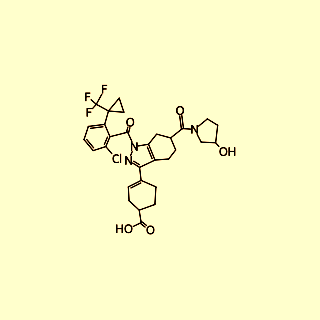 O=C(O)C1CC=C(c2nn(C(=O)c3c(Cl)cccc3C3(C(F)(F)F)CC3)c3c2CCC(C(=O)N2CCC(O)C2)C3)CC1